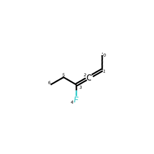 [CH2]C=C=C(F)CC